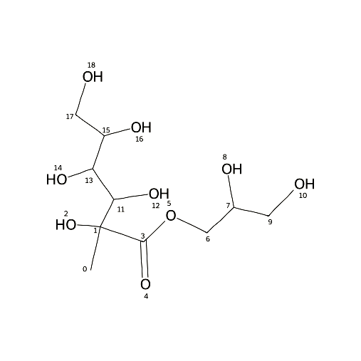 CC(O)(C(=O)OCC(O)CO)C(O)C(O)C(O)CO